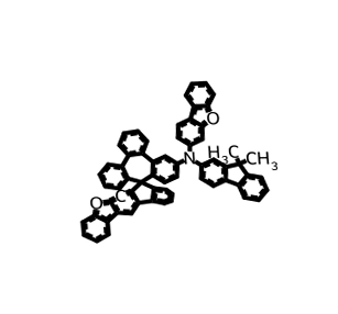 CC1(C)c2ccccc2-c2ccc(N(c3ccc4c(c3)-c3ccccc3-c3ccccc3C43c4ccccc4-c4cc5c(cc43)oc3ccccc35)c3ccc4c(c3)oc3ccccc34)cc21